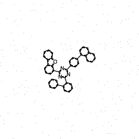 c1ccc(-c2ccccc2-c2nc(-c3ccc(-c4cccc5ccccc45)cc3)nc(-c3cccc4c3oc3ccccc34)n2)cc1